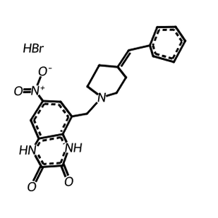 Br.O=c1[nH]c2cc([N+](=O)[O-])cc(CN3CCC(=Cc4ccccc4)CC3)c2[nH]c1=O